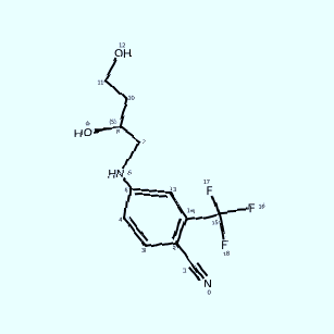 N#Cc1ccc(NC[C@@H](O)CCO)cc1C(F)(F)F